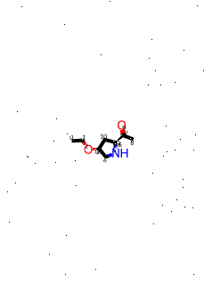 CCO[C@@H]1CN[C@H](C(C)=O)C1